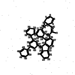 CC1=NC23C=CC=CC2N3c2cccc3c4c(ccc5c6ccccc6n(-c6cc(-c7ccccc7)cc(-c7ccccc7)c6)c54)n1c23